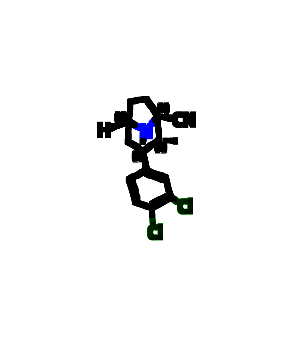 C[C@@H]1[C@@H](c2ccc(Cl)c(Cl)c2)C[C@@H]2CC[C@@]1(C#N)N2C